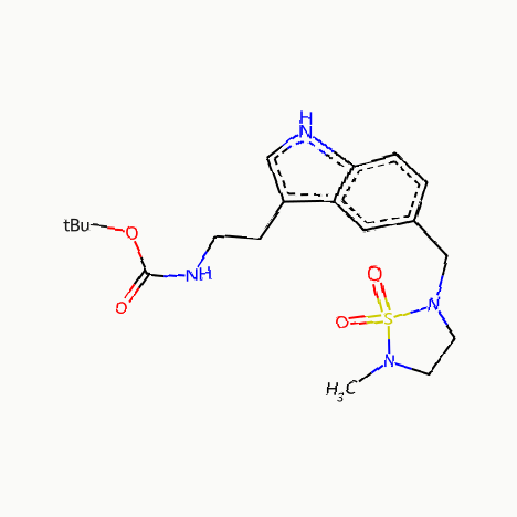 CN1CCN(Cc2ccc3[nH]cc(CCNC(=O)OC(C)(C)C)c3c2)S1(=O)=O